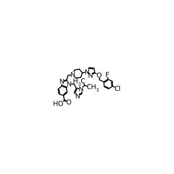 CC(C)n1cncc1Cn1c(CN2CCC(n3ccc(OCc4ccc(Cl)cc4F)n3)CC2)nc2ccc(C(=O)O)cc21